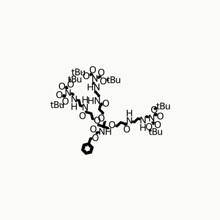 CC(C)(C)OC(=O)N(CNCCNC(=O)CCOCC(COCCC(=O)NCCNCN(C(=O)OC(C)(C)C)C(=O)OC(C)(C)C)(COCCC(=O)NCCNCN(C(=O)OC(C)(C)C)C(=O)OC(C)(C)C)NC(=O)OCc1ccccc1)C(=O)OC(C)(C)C